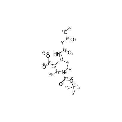 COC(=O)CC(=O)NC1CCN(C(=O)OC(C)(C)C)C(C)C1C(=O)OC